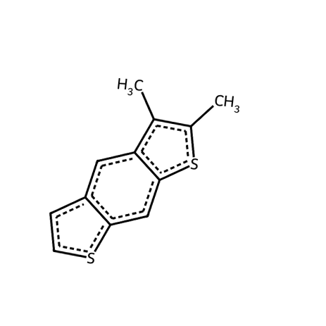 Cc1sc2cc3sccc3cc2c1C